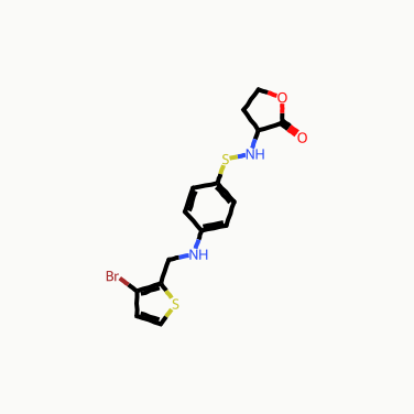 O=C1OCCC1NSc1ccc(NCc2sccc2Br)cc1